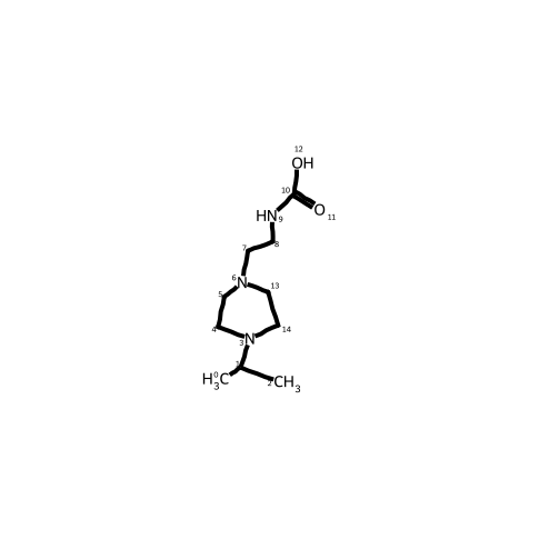 CC(C)N1CCN(CCNC(=O)O)CC1